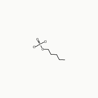 CCCCCOP(=O)(Cl)Cl